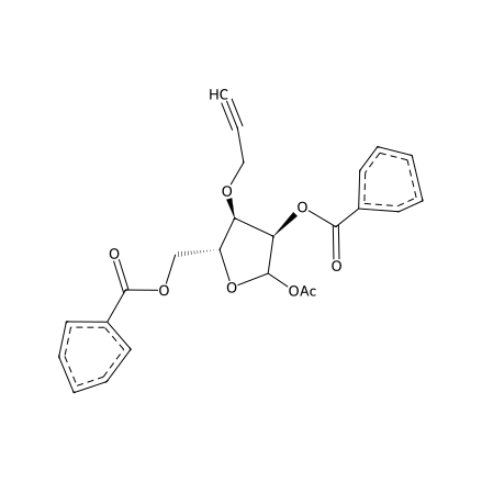 C#CCO[C@@H]1[C@@H](COC(=O)c2ccccc2)OC(OC(C)=O)[C@@H]1OC(=O)c1ccccc1